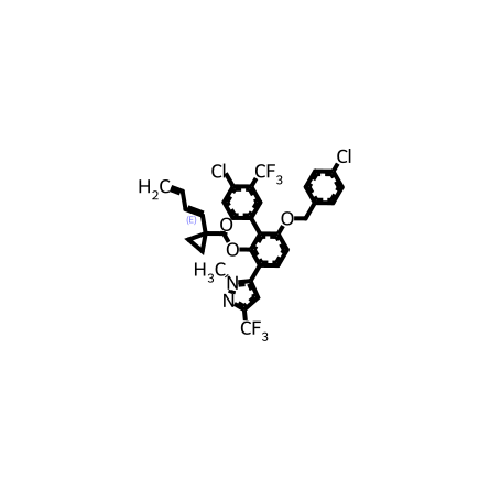 C=C/C=C/C1(C(=O)Oc2c(-c3cc(C(F)(F)F)nn3C)ccc(OCc3ccc(Cl)cc3)c2-c2ccc(Cl)c(C(F)(F)F)c2)CC1